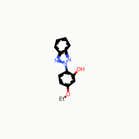 [CH2]COc1ccc(-n2nc3ccccc3n2)c(O)c1